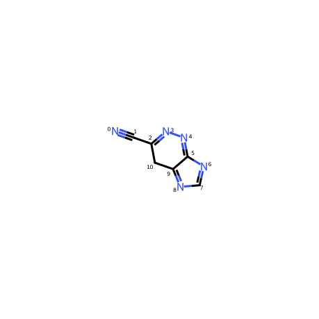 N#CC1=NN=C2N=CN=C2C1